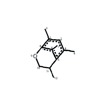 Cc1[c]c(C)c2c(C)c1OCC2C